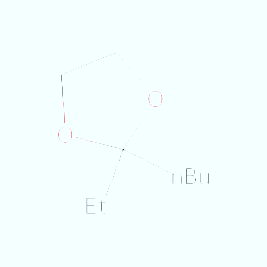 CCCCC1(CC)OCCO1